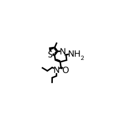 CCCN(CCC)C(=O)C1=Cc2scc(C)c2N=C(N)C1